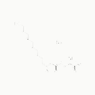 CCCCCCCCCCCC(O)OC(=O)CC[C@H](N)C(=O)[O-].[Na+]